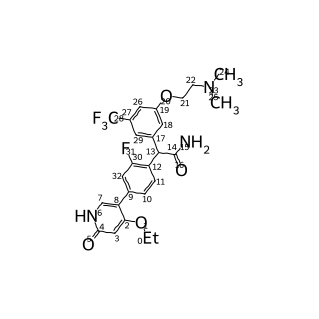 CCOc1cc(=O)[nH]cc1-c1ccc(C(C(N)=O)c2cc(OCCN(C)C)cc(C(F)(F)F)c2)c(F)c1